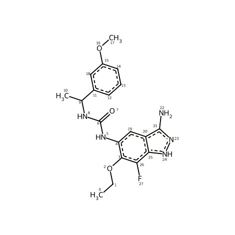 CCOc1c(NC(=O)NC(C)c2cccc(OC)c2)cc2c(N)n[nH]c2c1F